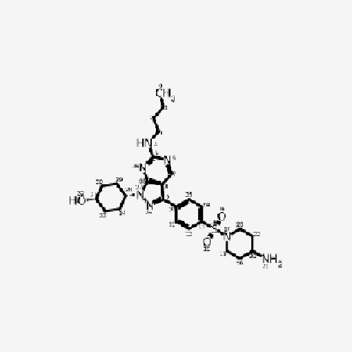 CCCCNc1ncc2c(-c3ccc(S(=O)(=O)N4CCC(N)CC4)cc3)nn([C@H]3CC[C@H](O)CC3)c2n1